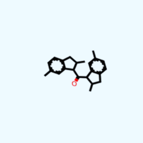 Cc1ccc2c(c1)C(C(=O)C1c3cc(C)ccc3CC1C)C(C)C2